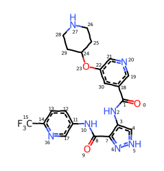 O=C(Nc1c[nH]nc1C(=O)Nc1ccc(C(F)(F)F)nc1)c1cncc(OC2CCNCC2)c1